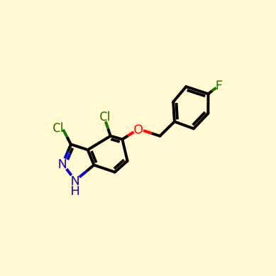 Fc1ccc(COc2ccc3[nH]nc(Cl)c3c2Cl)cc1